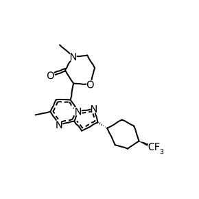 Cc1cc(C2OCCN(C)C2=O)n2nc([C@H]3CC[C@H](C(F)(F)F)CC3)cc2n1